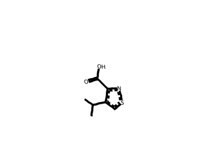 CC(C)c1csnc1C(=O)O